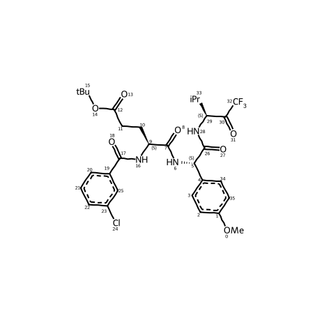 COc1ccc([C@H](NC(=O)[C@H](CCC(=O)OC(C)(C)C)NC(=O)c2cccc(Cl)c2)C(=O)N[C@H](C(=O)C(F)(F)F)C(C)C)cc1